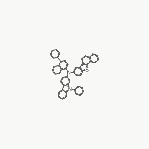 c1ccc(-c2ccc(N(c3ccc4sc5c6ccccc6ccc5c4c3)c3ccc4c5ccccc5n(-c5ccccc5)c4c3)c3ccccc23)cc1